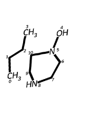 CCCC.ON1CCNCC1